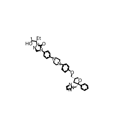 CC[C@@H]([C@H](C)O)n1ncn(-c2ccc(N3CCN(c4ccc(OC[C@@H]5CO[C@@](Cn6nccn6)(c6ccccc6)C5)cc4)CC3)cc2)c1=O